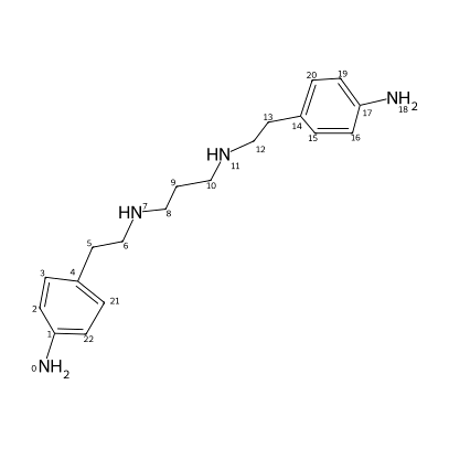 Nc1ccc(CCNCCCNCCc2ccc(N)cc2)cc1